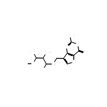 CSC(O)C(O)C(C)NCc1c[nH]c2c(=O)[nH]c(N)nc12